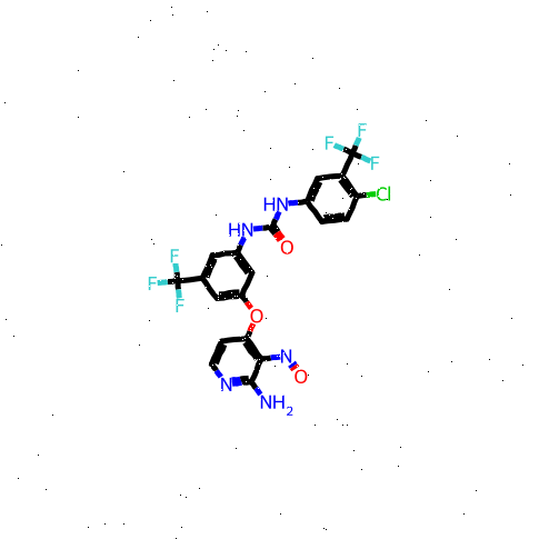 Nc1nccc(Oc2cc(NC(=O)Nc3ccc(Cl)c(C(F)(F)F)c3)cc(C(F)(F)F)c2)c1N=O